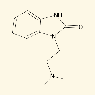 CN(C)CCn1c(=O)[nH]c2ccccc21